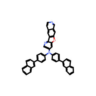 c1ccc2cc(-c3ccc(N(c4ccc(-c5ccc6ccccc6c5)cc4)c4cnc5c(c4)oc4cc6cnccc6cc45)cc3)ccc2c1